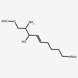 CCCCCCCCCCCCC/C=C/C(O)C(N)COC=O